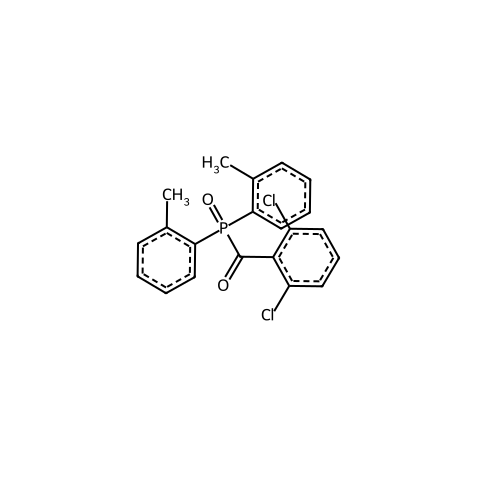 Cc1ccccc1P(=O)(C(=O)c1c(Cl)cccc1Cl)c1ccccc1C